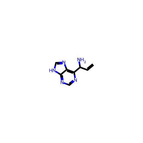 C=CC(N)c1ncnc2[nH]cnc12